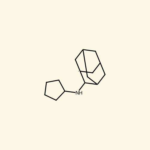 C1CCC(NC2[C]3CC4CC(C3)CC2C4)C1